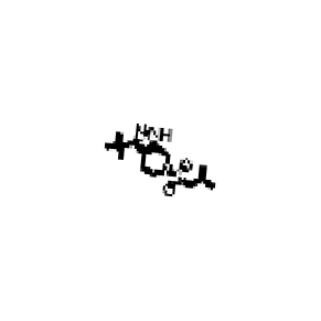 CC(C)CS(=O)(=O)N1CCc2c(C(C)(C)C)n[nH]c2C1